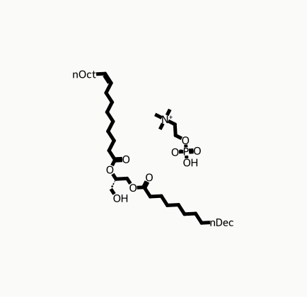 CCCCCCCC/C=C\CCCCCCCC(=O)O[C@@H](CO)COC(=O)CCCCCCCCCCCCCCCCC.C[N+](C)(C)CCOP(=O)([O-])O